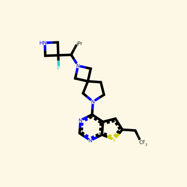 CC(C)C(N1CC2(CCN(c3ncnc4sc(CC(F)(F)F)cc34)C2)C1)C1(F)CNC1